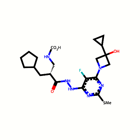 CSc1nc(NNC(=O)[C@@H](CNC(=O)O)CC2CCCC2)c(F)c(N2CC(O)(C3CC3)C2)n1